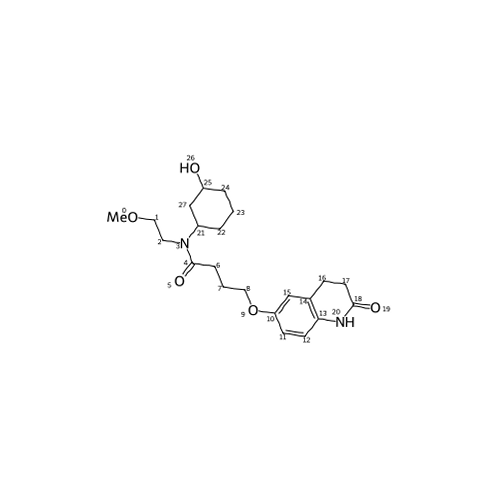 COCCN(C(=O)CCCOc1ccc2c(c1)CCC(=O)N2)C1CCCC(O)C1